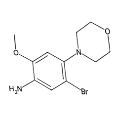 COc1cc(N2CCOCC2)c(Br)cc1N